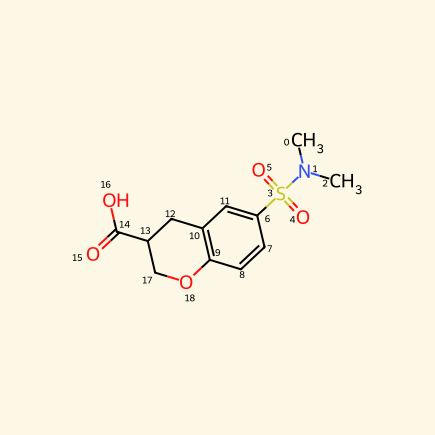 CN(C)S(=O)(=O)c1ccc2c(c1)CC(C(=O)O)CO2